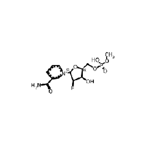 COP(=O)(O)OC[C@@H]1O[C@H]([n+]2cccc(C(N)=O)c2)C(F)C1O